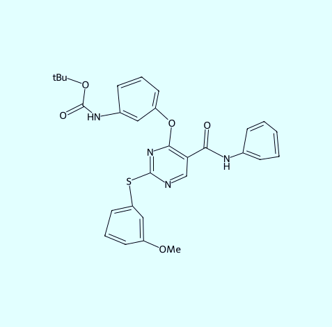 COc1cccc(Sc2ncc(C(=O)Nc3ccccc3)c(Oc3cccc(NC(=O)OC(C)(C)C)c3)n2)c1